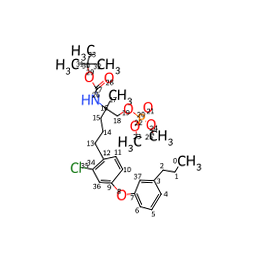 CCCc1cccc(Oc2ccc(CCCC(C)(COP(=O)(OC)OC)NC(=O)OC(C)(C)C)c(Cl)c2)c1